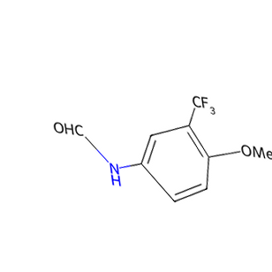 COc1ccc(NC=O)cc1C(F)(F)F